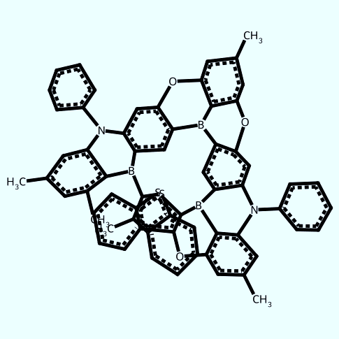 Cc1cc2c3c(c1)Oc1cc4c(cc1B3c1cc3c(cc1O2)N(c1ccccc1)c1cc(C)cc(C)c1B3c1sc2ccccc2c1C)B1c2sc3ccccc3c2Oc2cc(C)cc(c21)N4c1ccccc1